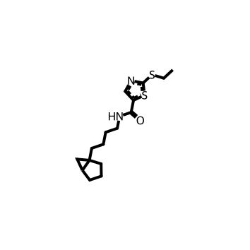 CCSc1ncc(C(=O)NCCCCC23CCCC2C3)s1